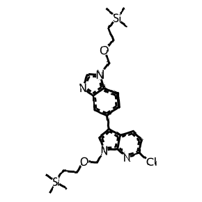 C[Si](C)(C)CCOCn1cnc2cc(-c3cn(COCC[Si](C)(C)C)c4nc(Cl)ccc34)ccc21